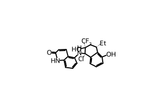 CC[C@H]1C[C@@](O)(C(F)(F)F)[C@](Cl)(Nc2cccc3[nH]c(=O)ccc23)c2cccc(O)c21